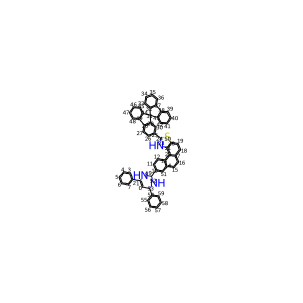 C1=C(c2ccccc2)NC(c2ccc3c(ccc4ccc5c(c43)NC(c3ccc4c(c3)C3(c6ccccc6-c6ccccc63)c3ccccc3-4)S5)c2)NC1c1ccccc1